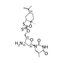 C=C(C)[C@H]1CC[C@@]2(C)O[P@](=S)(OC[C@H]3O[C@@H](n4cc(C)c(=O)[nH]c4=O)C[C@@H]3N)SC2C1